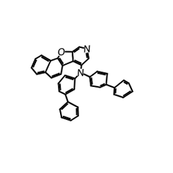 c1ccc(-c2ccc(N(c3cccc(-c4ccccc4)c3)c3cncc4oc5c6ccccc6ccc5c34)cc2)cc1